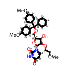 COCCOC1C(O)[C@H](COC(c2ccccc2)(c2ccc(OC)cc2)c2ccc(OC)cc2)O[C@@H]1n1ccc(=O)[nH]c1=O